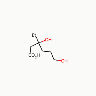 [CH2]CC(O)(CCCO)CC(=O)O